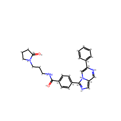 O=C(NCCCN1CCCC1=O)c1ccc(-c2ncc3cnc(-c4ccccc4)cn23)cc1